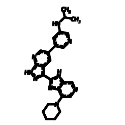 CC(C)Nc1cncc(-c2cnc3[nH]nc(-c4nc5c(N6CCCCC6)cncc5[nH]4)c3c2)c1